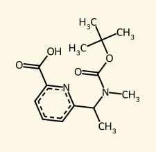 CC(c1cccc(C(=O)O)n1)N(C)C(=O)OC(C)(C)C